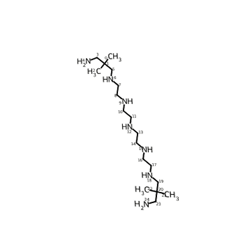 CC(C)(CN)CNCCNCCNCCNCCNCC(C)(C)CN